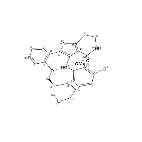 COc1c(Cl)cccc1Nc1c(-c2ccncc2OC[C@@H]2COCCO2)[nH]c2c1C(=O)NCC2